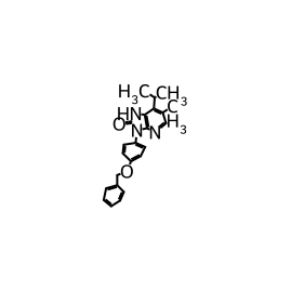 Cc1cnc2c([nH]c(=O)n2-c2ccc(OCc3ccccc3)cc2)c1C(C)C